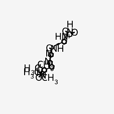 CC(C)c1cc(-c2cccc3cc(-c4ccc(C(=O)NCC#Cc5cccc(N[C@@H]6CCC(=O)NC6=O)c5)nc4)ncc23)cc2c1n(C)c(=O)n2C